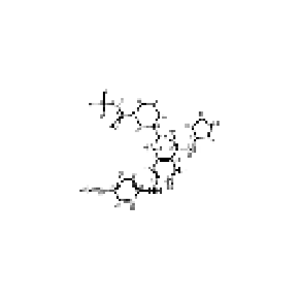 CC(C)(C)OC(=O)N1CCCC(CNc2cc(Nc3cnc(C#N)cn3)nnc2C(=O)NC2CCCC2)C1